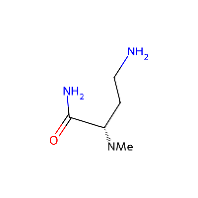 CN[C@@H](CCN)C(N)=O